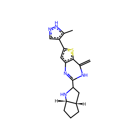 C=C1NC(C2C[C@@H]3CCC[C@@H]3N2)=Nc2cc(-c3cn[nH]c3C)sc21